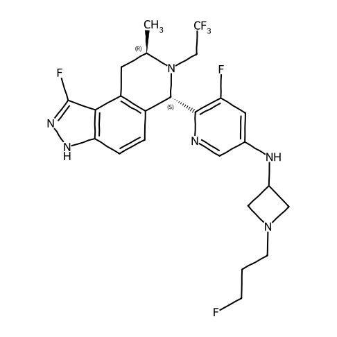 C[C@@H]1Cc2c(ccc3[nH]nc(F)c23)[C@@H](c2ncc(NC3CN(CCCF)C3)cc2F)N1CC(F)(F)F